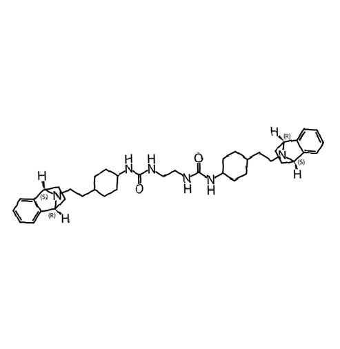 O=C(NCCNC(=O)NC1CCC(CCN2[C@@H]3CC[C@H]2c2ccccc23)CC1)NC1CCC(CCN2[C@@H]3CC[C@H]2c2ccccc23)CC1